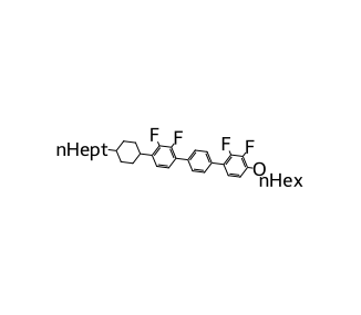 CCCCCCCC1CCC(c2ccc(-c3ccc(-c4ccc(OCCCCCC)c(F)c4F)cc3)c(F)c2F)CC1